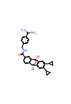 NC(N)c1ccc(CNC(=O)c2ccc3c(c2)[C@@H]2O[C@H]3c3cc(C4CC4)c(C4CC4)cc32)cc1